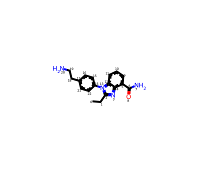 CCc1nc2c(C(N)=O)cccc2n1-c1ccc(CCN)cc1